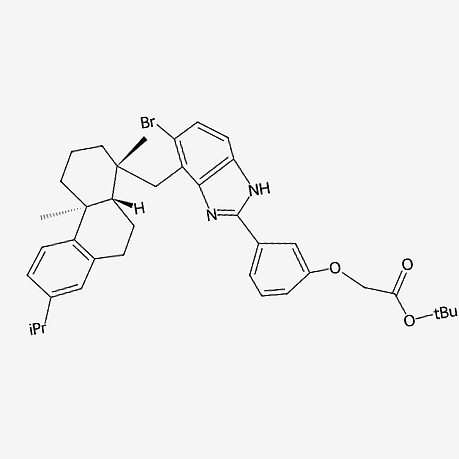 CC(C)c1ccc2c(c1)CC[C@H]1[C@@](C)(Cc3c(Br)ccc4[nH]c(-c5cccc(OCC(=O)OC(C)(C)C)c5)nc34)CCC[C@]21C